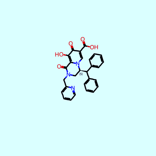 O=C(O)c1cn2c(c(O)c1=O)C(=O)N(Cc1ccccn1)C[C@@H]2C(c1ccccc1)c1ccccc1